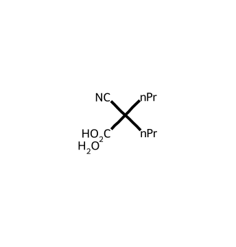 CCCC(C#N)(CCC)C(=O)O.O